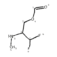 CNC(COC=O)C(F)F